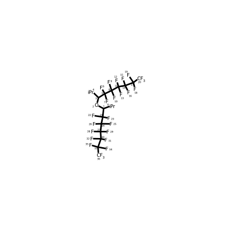 CC(C)C(OC(C(C)C)C(F)(F)C(F)(F)C(F)(F)C(F)(F)C(F)(F)C(F)(F)F)C(F)(F)C(F)(F)C(F)(F)C(F)(F)C(F)(F)C(F)(F)F